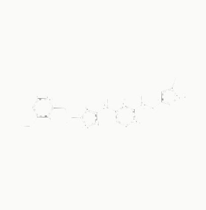 COc1ccnc(COc2cc(Nc3ccnc(NCc4cc(C)no4)n3)n[nH]2)c1